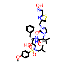 COc1ccc(S(=O)(=O)N(CC(C)C)C[C@H](O)[C@H](Cc2ccccc2)NC(=O)[C@H](C(C)C)N2CCN(Cc3csc(C=NO)n3)C2=O)cc1